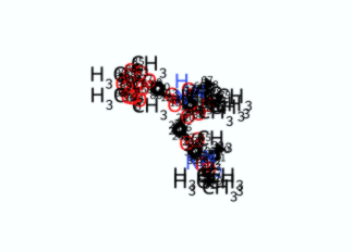 COC(=O)[C@H]1O[C@@H](Oc2ccc(COC(=O)Nc3cc(OCc4cccc(COc5cc(N)c(C(=O)N6CC7(CC7)C[C@H]6CO[Si](C)(C)C(C)(C)C)cc5OC)c4)c(OC)cc3C(=O)N3CC4(CC4)C[C@H]3CO[Si](C)(C)C(C)(C)C)cc2)[C@H](OC(C)=O)[C@@H](OC(C)=O)[C@@H]1OC(C)=O